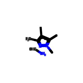 Cc1c(C(F)(F)F)nn(C)c1C.NC=O